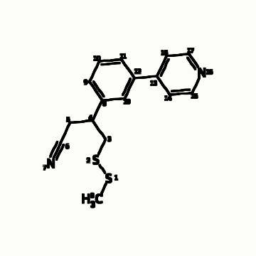 CSSCC(CC#N)c1cccc(-c2ccncc2)c1